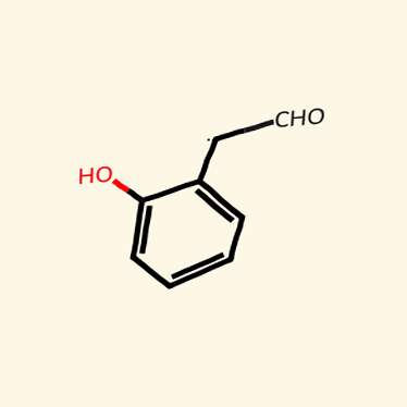 O=C[CH]c1ccccc1O